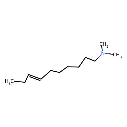 CC/C=C/CCCCCCN(C)C